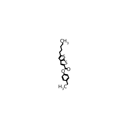 CCCCCc1cc2cc(C(=O)Oc3ccc(CC)cc3)sc2s1